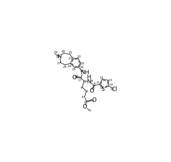 COC(=O)CCCC(NC(=O)c1ccc(Cl)s1)C(=O)Nc1ccc2c(c1)CCN(C)CC2